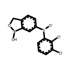 [O-][S+](c1ccc2c(c1)B(O)OC2)c1cccc(Cl)c1Cl